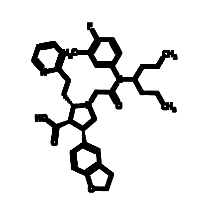 CCCC(CCC)N(C(=O)CN1C[C@H](c2ccc3c(c2)CCO3)[C@@H](C(=O)O)[C@@H]1CCc1ccccn1)c1ccc(F)c(C)c1